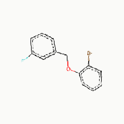 Fc1cccc(COc2ccccc2Br)c1